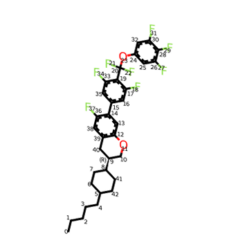 CCCCCC1CCC([C@@H]2COc3cc(-c4cc(F)c(C(F)(F)Oc5cc(F)c(F)c(F)c5)c(F)c4)c(F)cc3C2)CC1